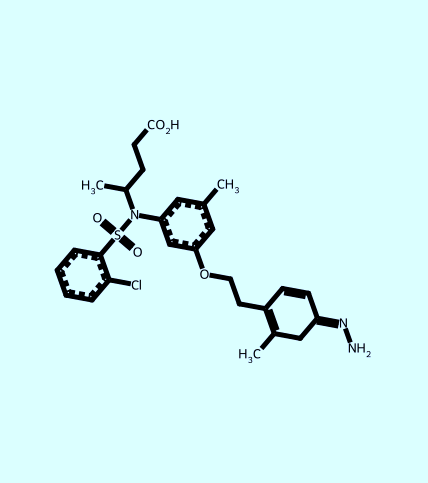 CC1=C(CCOc2cc(C)cc(N(C(C)CCC(=O)O)S(=O)(=O)c3ccccc3Cl)c2)C=CC(=NN)C1